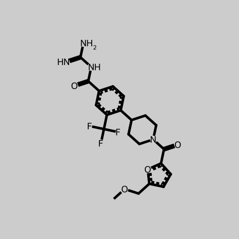 COCc1ccc(C(=O)N2CCC(c3ccc(C(=O)NC(=N)N)cc3C(F)(F)F)CC2)o1